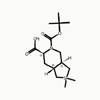 CC(C)(C)OC(=O)N1C[C@H]2C[Si](C)(C)C[C@@H]2C[C@H]1C(=O)O